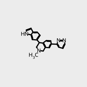 CN1Cc2cc(-c3cccnn3)ccc2C(c2ccc3cc[nH]c3c2)C1